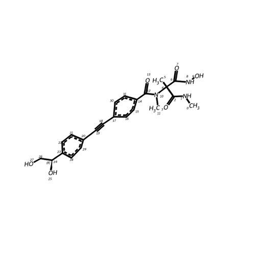 CNC(=O)C(C)(C(=O)NO)N(C)C(=O)c1ccc(C#Cc2ccc([C@@H](O)CO)cc2)cc1